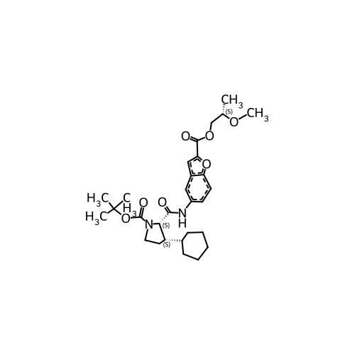 CO[C@@H](C)COC(=O)c1cc2cc(NC(=O)[C@@H]3[C@H](C4CCCCC4)CCN3C(=O)OC(C)(C)C)ccc2o1